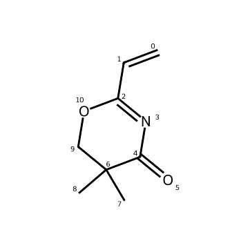 C=CC1=NC(=O)C(C)(C)CO1